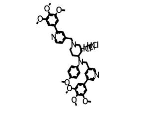 COc1ccc(N(Cc2cncc(-c3cc(OC)c(OC)c(OC)c3)c2)C2CCN(Cc3ccnc(-c4cc(OC)c(OC)c(OC)c4)c3)CC2)cc1.Cl.Cl.Cl